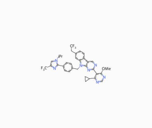 COc1ncnc(C2CC2)c1-c1ncc2c3ccc(CC(F)(F)F)cc3n(Cc3ccc(-c4nc(C(F)(F)F)cn4C(C)C)cc3)c2n1